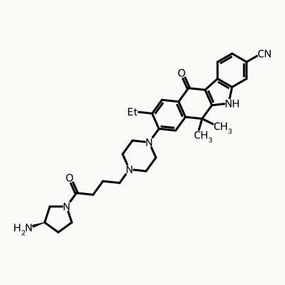 CCc1cc2c(cc1N1CCN(CCCC(=O)N3CC[C@@H](N)C3)CC1)C(C)(C)c1[nH]c3cc(C#N)ccc3c1C2=O